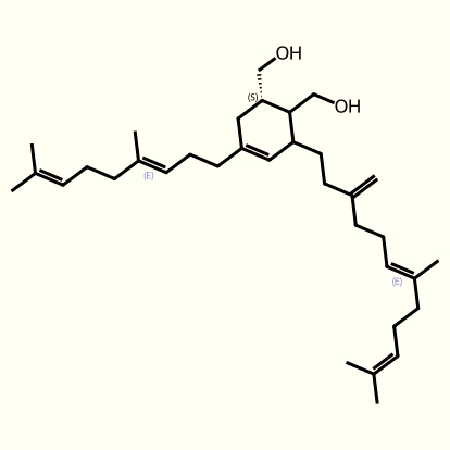 C=C(CC/C=C(\C)CCC=C(C)C)CCC1C=C(CC/C=C(\C)CCC=C(C)C)C[C@H](CO)C1CO